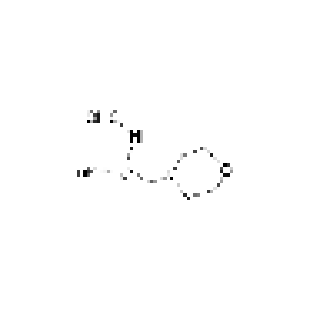 CCC[C@@H](CN1CCOCC1)NC=O